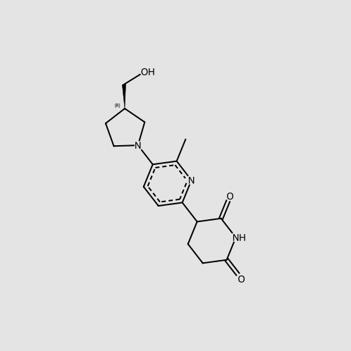 Cc1nc(C2CCC(=O)NC2=O)ccc1N1CC[C@@H](CO)C1